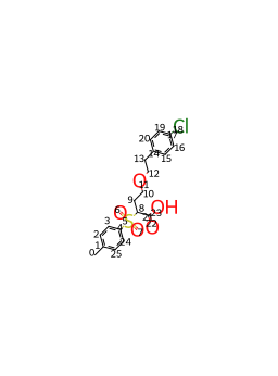 Cc1ccc(S(=O)(=O)C(CCOCCc2ccc(Cl)cc2)C(=O)O)cc1